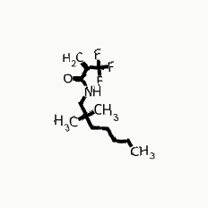 C=C(C(=O)NCC(C)(C)CCCCC)C(F)(F)F